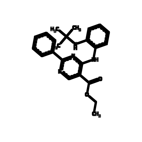 CCOC(=O)c1cnc(-c2ccccc2)nc1Nc1ccccc1NC(C)(C)C